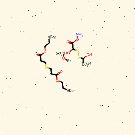 CCCCCCCCCCCCOC(=O)CCSCCC(=O)OCCCCCCCCCCCC.CCOS(=O)(=O)O.NOC(=O)C(O)SSC(O)C(=O)O